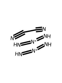 N#CC#N.N=[N+]=N.N=[N+]=N